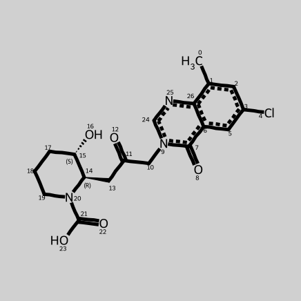 Cc1cc(Cl)cc2c(=O)n(CC(=O)C[C@@H]3[C@@H](O)CCCN3C(=O)O)cnc12